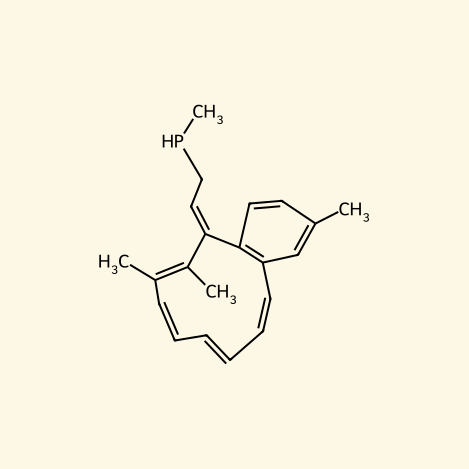 CPC/C=C1/C(C)=C(C)/C=C\C=C\C=C/c2cc(C)ccc21